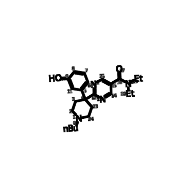 CCCCN1CCC(c2cccc(O)c2)(c2ncc(C(=O)N(CC)CC)cn2)CC1